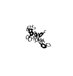 COc1ccc2c(c1)c(C(C)=O)cn2CC(=O)N1C[C@H](F)C[C@H]1C(=O)NCc1cccc(Cl)c1F